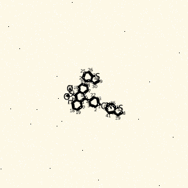 N#Cc1ccc(-c2c3ccccc3c([SH](=O)=O)c3ccccc23)cc1.c1ccc2sccc2c1.c1ccc2sccc2c1